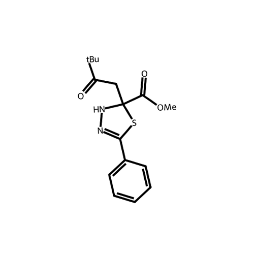 COC(=O)C1(CC(=O)C(C)(C)C)NN=C(c2ccccc2)S1